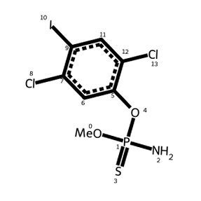 COP(N)(=S)Oc1cc(Cl)c(I)cc1Cl